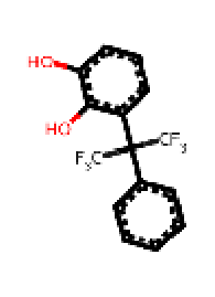 Oc1cccc(C(c2ccccc2)(C(F)(F)F)C(F)(F)F)c1O